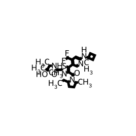 CCC1CCC(C)N1C(=O)c1nc(C(=O)N[C@@H](C)C(C)(C)O)sc1-c1cnc(NC2(C)CCC2)cc1C(F)F